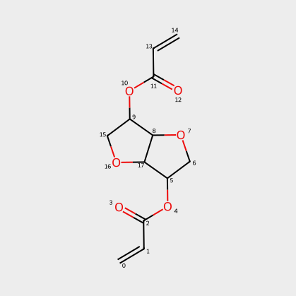 C=CC(=O)OC1COC2C(OC(=O)C=C)COC12